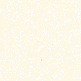 CC1(c2ccccc2)C=Cc2c(C(=O)NC3CC3)n[nH]c2C1